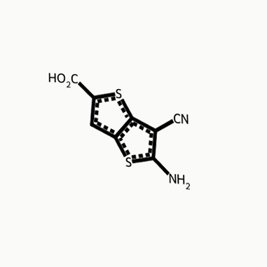 N#Cc1c(N)sc2cc(C(=O)O)sc12